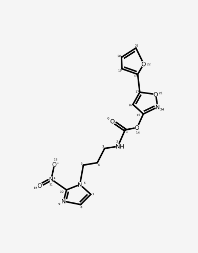 O=C(NCCCn1ccnc1[N+](=O)[O-])Oc1cc(-c2ccco2)on1